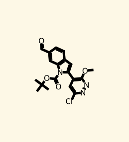 COc1nnc(Cl)cc1-c1cc2ccc(C=O)cc2n1C(=O)OC(C)(C)C